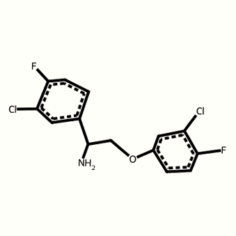 NC(COc1ccc(F)c(Cl)c1)c1ccc(F)c(Cl)c1